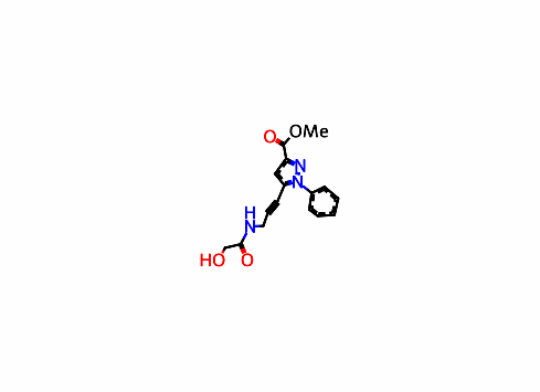 COC(=O)c1cc(C#CCNC(=O)CO)n(-c2ccccc2)n1